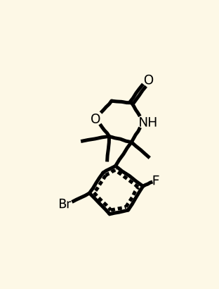 CC1(C)OCC(=O)NC1(C)c1cc(Br)ccc1F